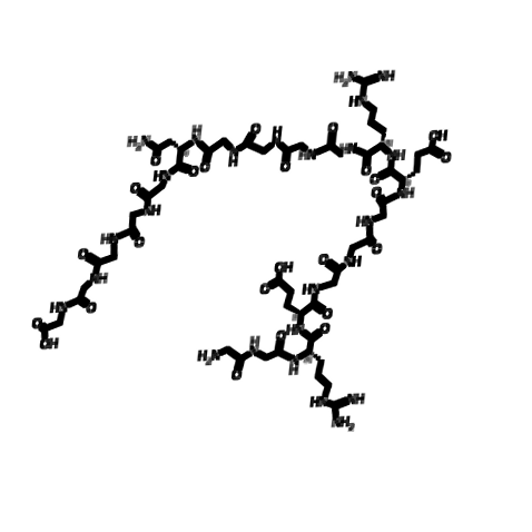 N=C(N)NCCC[C@H](NC(=O)CNC(=O)CN)C(=O)N[C@@H](CCC(=O)O)C(=O)NCC(=O)NCC(=O)NCC(=O)N[C@@H](CCC(=O)O)C(=O)N[C@@H](CCCNC(=N)N)C(=O)NCC(=O)NCC(=O)NCC(=O)NCC(=O)N[C@@H](CC(N)=O)C(=O)NCC(=O)NCC(=O)NCC(=O)NCC(=O)NCC(=O)O